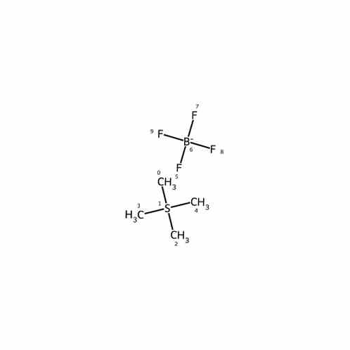 CS(C)(C)C.F[B-](F)(F)F